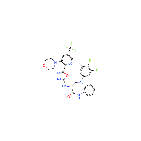 O=C1Nc2ccccc2N(c2cc(F)c(F)c(F)c2)C[C@@H]1Nc1nnc(-c2ncc(C(F)(F)F)cc2N2CCOCC2)o1